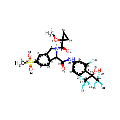 COC1(C(=O)N2Cc3cc(S(C)(=O)=O)ccc3C2C(=O)Nc2ccc(C(O)(C(F)(F)F)C(F)(F)F)c(F)c2)CC1